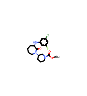 CC(C)(C)OC(=O)N1CCC[C@@H](N2CCCC[C@@H](Nc3cc(F)cc(Cl)c3)C2=O)C1